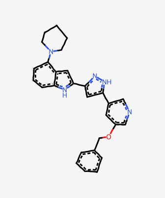 c1ccc(COc2cncc(-c3cc(-c4cc5c(N6CCCCC6)cccc5[nH]4)n[nH]3)c2)cc1